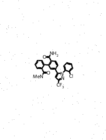 CNC(=O)c1ccccc1-c1cc(-c2cc(C(F)(F)F)nn2-c2ccccc2Cl)ccc1C(N)=O